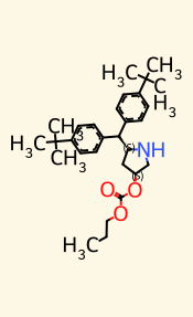 CCCOC(=O)O[C@@H]1CN[C@H](C(c2ccc(C(C)(C)C)cc2)c2ccc(C(C)(C)C)cc2)C1